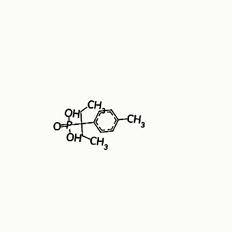 CCC(CC)(c1ccc(C)cc1)P(=O)(O)O